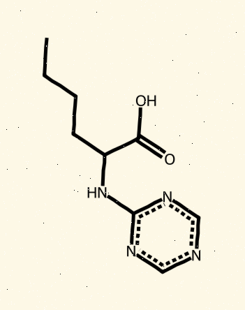 CCCCC(Nc1ncncn1)C(=O)O